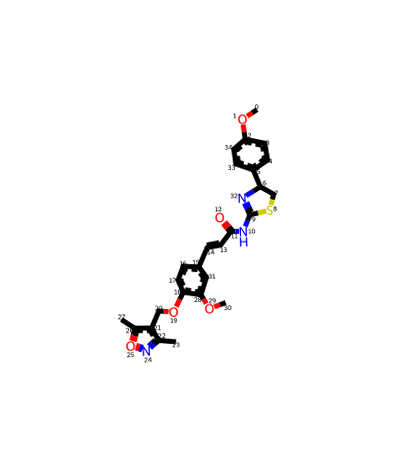 COc1ccc(C2CSC(NC(=O)/C=C/c3ccc(OCc4c(C)noc4C)c(OC)c3)=N2)cc1